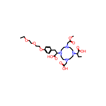 CCOCCOCCOc1ccc(CC(C(=O)O)N2CCN(CC(=O)O)CCN(C(CC)C(=O)O)CCN(CC(=O)OC)CC2)cc1